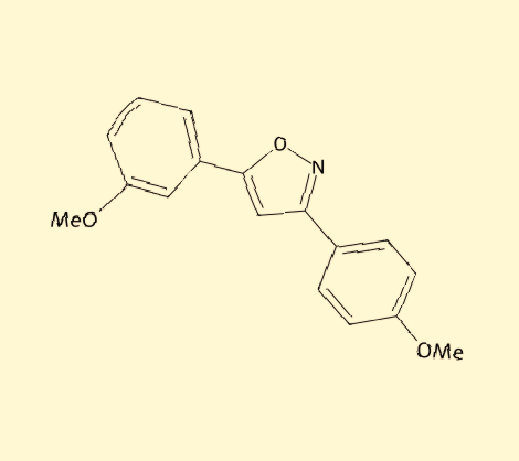 COc1ccc(-c2cc(-c3cccc(OC)c3)on2)cc1